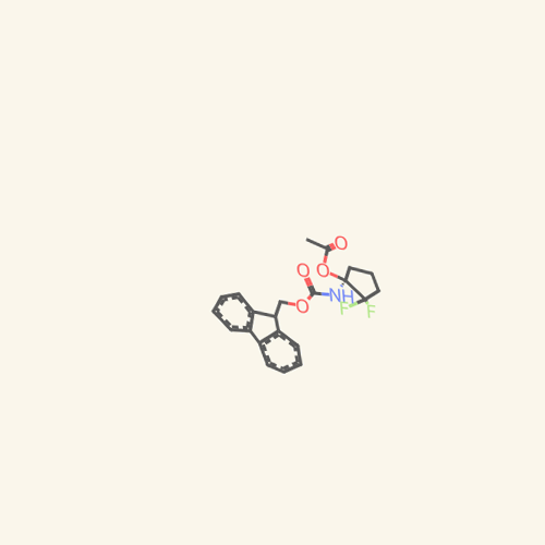 CC(=O)O[C@@]1(NC(=O)OCC2c3ccccc3-c3ccccc32)CCCC1(F)F